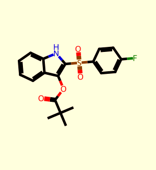 CC(C)(C)C(=O)Oc1c(S(=O)(=O)c2ccc(F)cc2)[nH]c2ccccc12